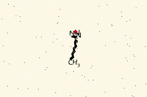 CCCCCCCCSc1cncnn1